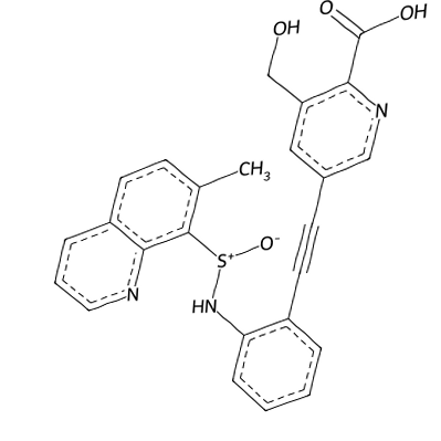 Cc1ccc2cccnc2c1[S+]([O-])Nc1ccccc1C#Cc1cnc(C(=O)O)c(CO)c1